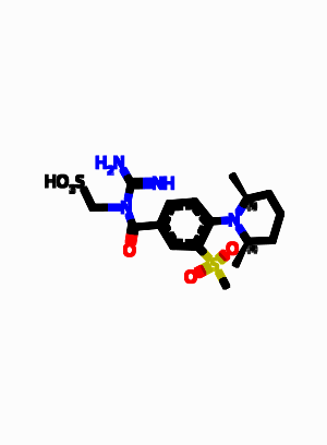 C[C@@H]1CCC[C@H](C)N1c1ccc(C(=O)N(CS(=O)(=O)O)C(=N)N)cc1S(C)(=O)=O